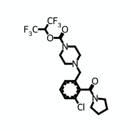 O=C(OC(C(F)(F)F)C(F)(F)F)N1CCN(Cc2cccc(Cl)c2C(=O)N2CCCC2)CC1